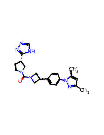 Cc1cc(C)n(-c2ccc(C3CN(C(=O)N4CC[C@H](c5nnc[nH]5)C4)C3)cc2)n1